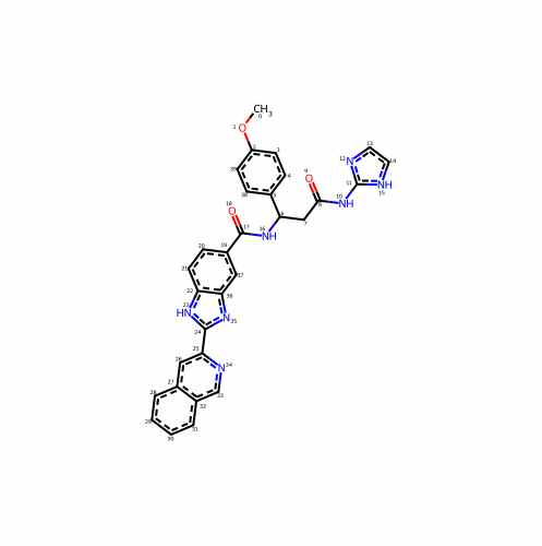 COc1ccc(C(CC(=O)Nc2ncc[nH]2)NC(=O)c2ccc3[nH]c(-c4cc5ccccc5cn4)nc3c2)cc1